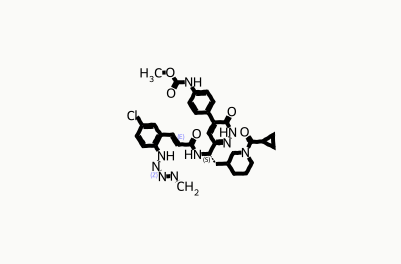 C=N/N=N\Nc1ccc(Cl)cc1/C=C/C(=O)N[C@@H](CC1CCCN(C(=O)C2CC2)C1)c1cc(-c2ccc(NC(=O)OC)cc2)c(=O)[nH]n1